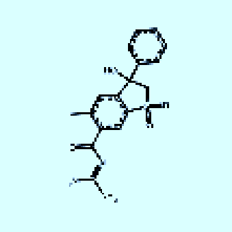 Cc1cc2c(cc1C(=O)N=C(N)N)S(=O)(=O)CC2(O)c1ccccc1